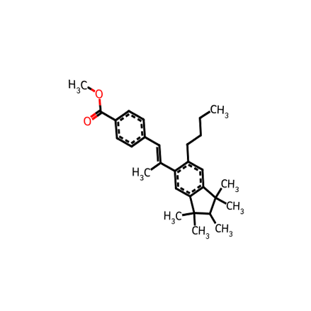 CCCCc1cc2c(cc1C(C)=Cc1ccc(C(=O)OC)cc1)C(C)(C)C(C)C2(C)C